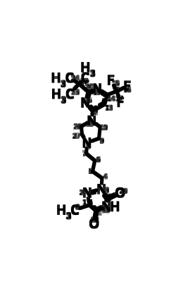 Cc1nn(CCCCN2CCN(c3cc(C(F)(F)F)nc(C(C)(C)C)n3)CC2)c(=O)[nH]c1=O